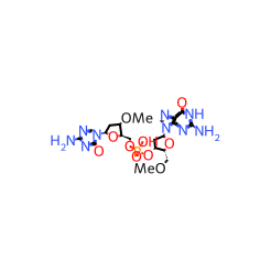 COC[C@H]1O[C@@H](n2cnc3c(=O)[nH]c(N)nc32)C[C@H]1OP(=O)(O)OC[C@H]1O[C@@H](n2cnc(N)nc2=O)CC1OC